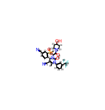 CC1=C(C#N)[C@@H](c2ccc(C#N)cc2S(C)(=O)=O)N(CC(=O)N2CCC(O)CC2)C(=O)N1c1cccc(C(F)(F)F)c1